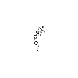 CCCCOc1ccc(Oc2ccc(CC(=O)Nc3ccccc3C(=O)O)cc2)cc1